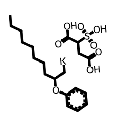 CCCCCCCCC([CH2][K])Oc1ccccc1.O=C(O)CC(C(=O)O)S(=O)(=O)O